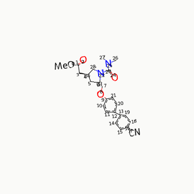 COC(=O)C[C@@H]1C[C@@H](COc2ccc(-c3ccc(C#N)cc3)cc2)N(C(=O)N(C)C)C1